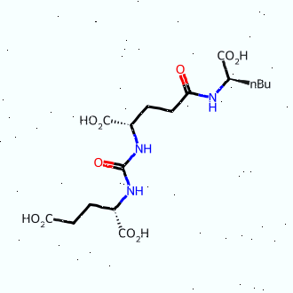 CCCC[C@@H](NC(=O)CC[C@H](NC(=O)N[C@@H](CCC(=O)O)C(=O)O)C(=O)O)C(=O)O